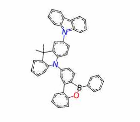 CC1(C)c2ccccc2N(c2ccc3c(c2)-c2ccccc2OB3c2ccccc2)c2ccc(-n3c4ccccc4c4ccccc43)cc21